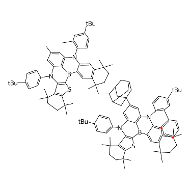 Cc1cc2c3c(c1)N(c1ccc(C(C)(C)C)cc1)c1c(sc4c1C(C)(C)CCC4(C)C)B3c1cc3c(cc1N2c1ccc(C(C)(C)C)cc1C)C(C)(C)CCC3(C)CC1C2CC3CC1CC(c1cc4c5c(c1)N(c1ccc(C(C)(C)C)cc1)c1c(sc6c1C(C)(C)CCC6(C)C)B5c1cc5c(cc1N4c1ccc(C(C)(C)C)cc1-c1ccccc1)C(C)(C)CCC5(C)C)(C3)C2